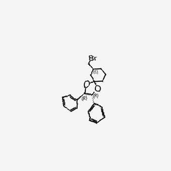 BrC[C@H]1CCCC2(C1)O[C@H](c1ccccc1)[C@@H](c1ccccc1)O2